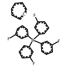 Fc1cccc([B-](c2cccc(F)c2)(c2cccc(F)c2)c2cccc(F)c2)c1.c1ccc[cH+]cc1